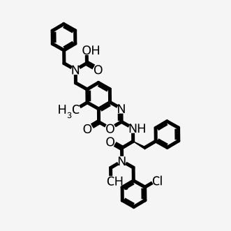 CCN(Cc1ccccc1Cl)C(=O)[C@H](Cc1ccccc1)Nc1nc2ccc(CN(Cc3ccccc3)C(=O)O)c(C)c2c(=O)o1